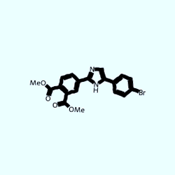 COC(=O)c1ccc(-c2ncc(-c3ccc(Br)cc3)[nH]2)cc1C(=O)OC